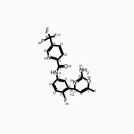 CC1=C[C@@](C)(c2cc(NC(=O)c3ccc(C(F)(F)F)cn3)ccc2F)N=C(N)O1